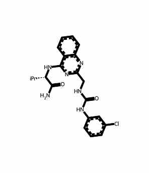 CC(C)[C@H](Nc1nc(CNC(=O)Nc2cccc(Cl)c2)nc2ccccc12)C(N)=O